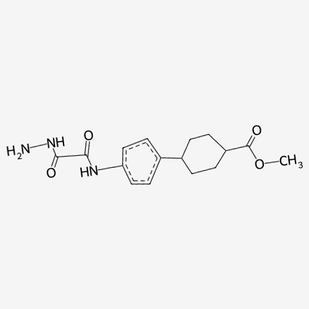 COC(=O)C1CCC(c2ccc(NC(=O)C(=O)NN)cc2)CC1